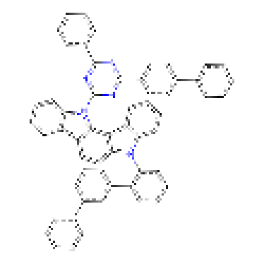 c1ccc(-c2ccc(-c3nc(-c4ccccc4)nc(-n4c5ccccc5c5ccc6c(c7ccccc7n6-c6ccccc6-c6cccc(-c7ccccc7)c6)c54)n3)cc2)cc1